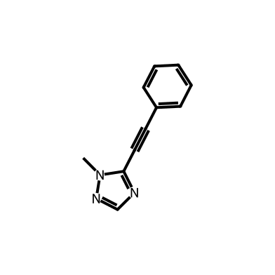 Cn1ncnc1C#Cc1ccccc1